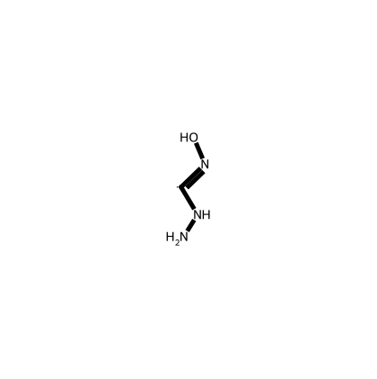 NN[C]=NO